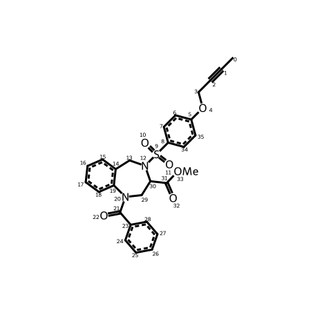 CC#CCOc1ccc(S(=O)(=O)N2Cc3ccccc3N(C(=O)c3ccccc3)CC2C(=O)OC)cc1